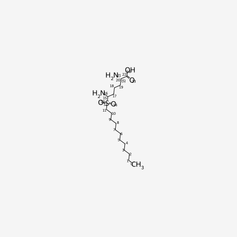 CCCCCCCCCCCCS(=O)(=O)C(N)CCC[C@H](N)C(=O)O